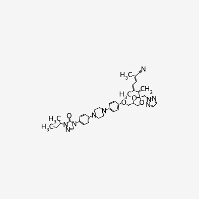 C=C(/C(C)=C\C=C(/C)C#N)[C@]1(Cn2nccn2)OC[C@@H](COc2ccc(N3CCN(c4ccc(-n5cnn(C(C)CC)c5=O)cc4)CC3)cc2)O1